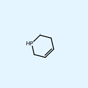 [CH]1CC=CCP1